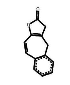 O=C1CC2=C(C=Cc3ccccc3C2)O1